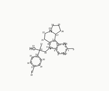 Cc1ncc2c(n1)c1c(n2CC(C)(O)c2ccc(F)cc2)CCN2CCCC12